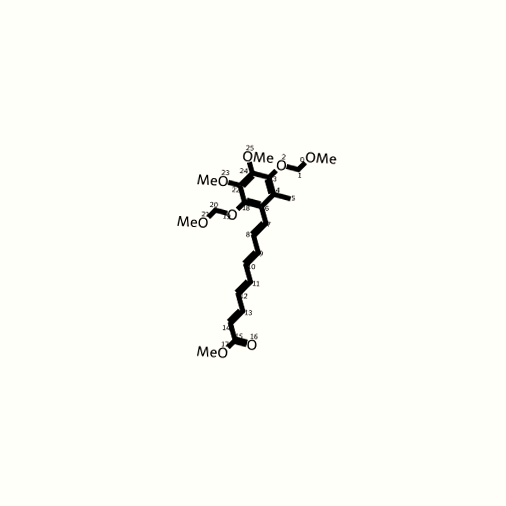 COCOc1c(C)c(/C=C/C=C/C=C/C=C/C(=O)OC)c(OCOC)c(OC)c1OC